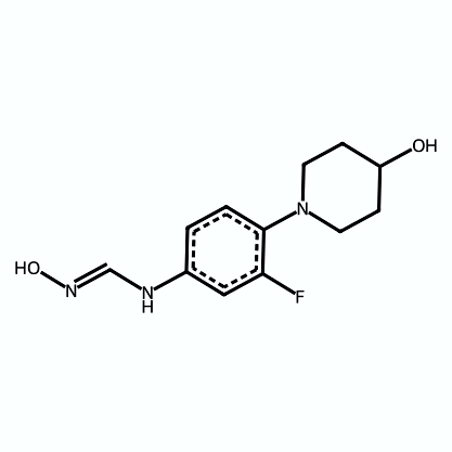 O/N=C/Nc1ccc(N2CCC(O)CC2)c(F)c1